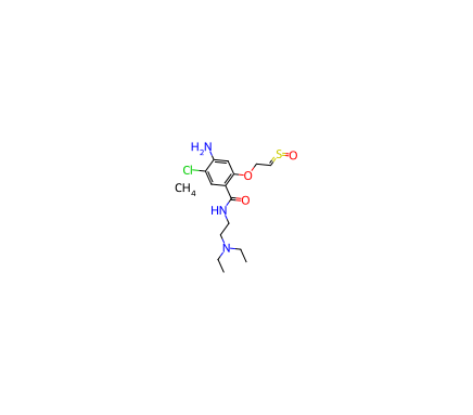 C.CCN(CC)CCNC(=O)c1cc(Cl)c(N)cc1OCC=S=O